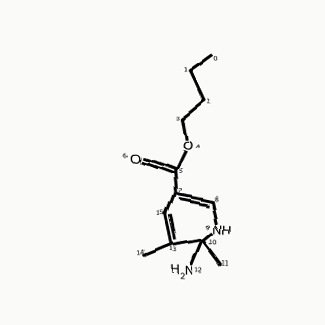 CCCCOC(=O)C1=CNC(C)(N)C(C)=C1